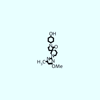 COc1cc(C)nc(N2CCC[C@]3(CCN([C@H]4CC[C@H](O)CC4)C3=O)C2)n1